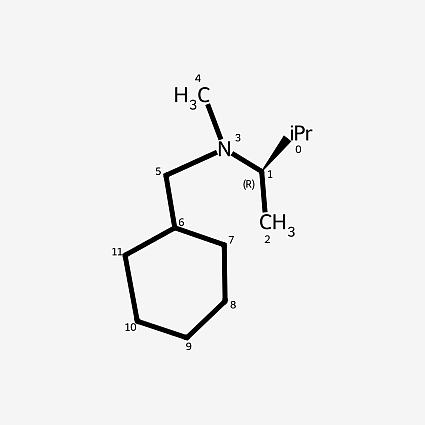 CC(C)[C@@H](C)N(C)CC1CCCCC1